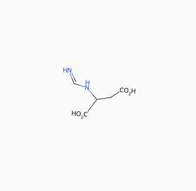 N=CNC(CC(=O)O)C(=O)O